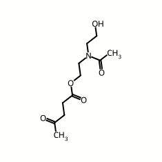 CC(=O)CCC(=O)OCCN(CCO)C(C)=O